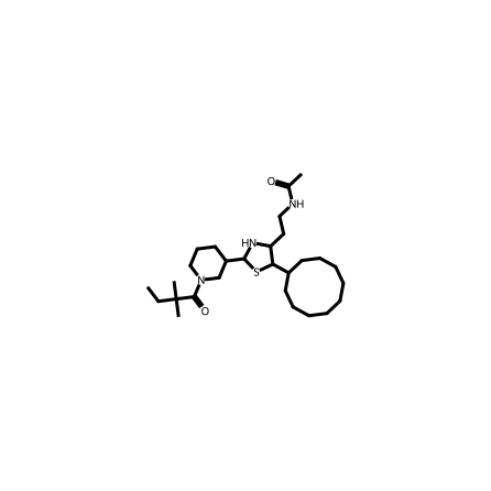 CCC(C)(C)C(=O)N1CCCC(C2NC(CCNC(C)=O)C(C3CCCCCCCCC3)S2)C1